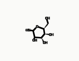 [NH]C1O[C@H](CO)[C@H](O)[C@H](O)[C@H]1O